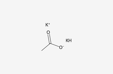 CC(=O)[O-].[K+].[KH]